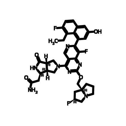 CCc1c(F)ccc2cc(O)cc(-c3ncc4c(N5C[C@@H]6[C@@H](CC(N)=O)NC(=O)[C@@H]6C5)nc(OC[C@@]56CCCN5C[C@H](F)C6)nc4c3F)c12